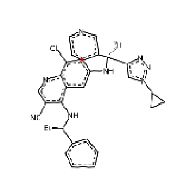 [2H][C@](Nc1cc(Cl)c2ncc(C#N)c(N[C@H](CC)c3ccccc3)c2c1)(c1cccnc1)c1cn(C2CC2)nn1